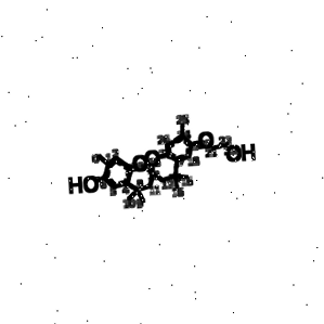 Cc1cc2c(cc1O)C(C)(C)CC1(CC(C)(C)c3cc(OCCO)c(C)cc3O1)O2